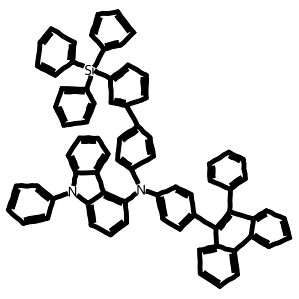 c1ccc(-c2c(-c3ccc(N(c4ccc(-c5cccc([Si](c6ccccc6)(c6ccccc6)c6ccccc6)c5)cc4)c4cccc5c4c4ccccc4n5-c4ccccc4)cc3)c3ccccc3c3ccccc23)cc1